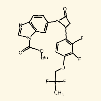 CC(F)(F)COc1ccc(C2CC(=O)N2c2ccc3ncn(C(=O)OC(C)(C)C)c3c2)c(F)c1F